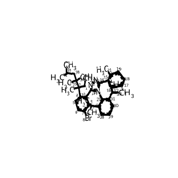 CCC(C)(c1ccc(Br)cc1-c1nnc(-c2ccccc2C)n1-c1c(C(C)C)cccc1C(C)C)C(C)(C)CC(C)C